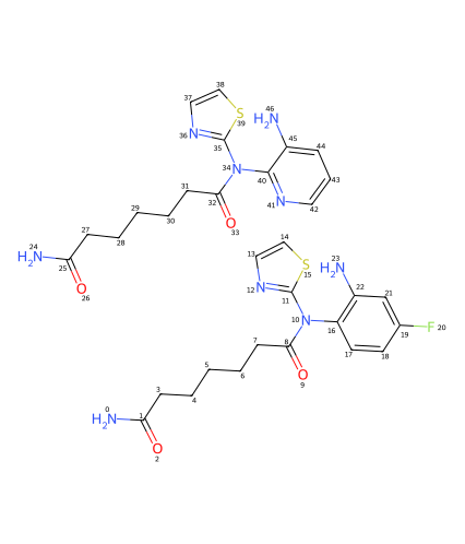 NC(=O)CCCCCC(=O)N(c1nccs1)c1ccc(F)cc1N.NC(=O)CCCCCC(=O)N(c1nccs1)c1ncccc1N